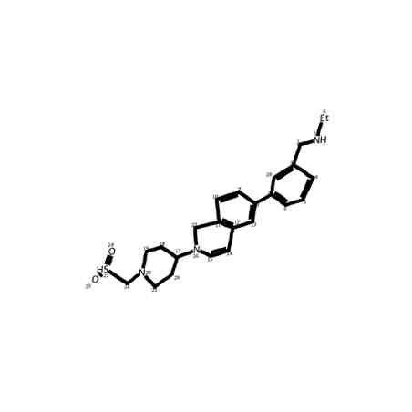 CCNCc1cccc(-c2ccc3c(c2)C=CN(C2CCN(C[SH](=O)=O)CC2)C3)c1